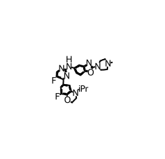 CC(C)N1CCOc2c(F)cc(-c3nc(Nc4ccc5oc(N6CCN(C)CC6)nc5c4)ncc3F)cc21